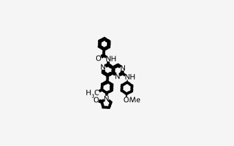 CO[C@H]1CC[C@H](Nc2ncc3c(NC(=O)c4ccccc4)ncc(C4=CC(C)C(N5CCCC5=O)C=C4)c3n2)CC1